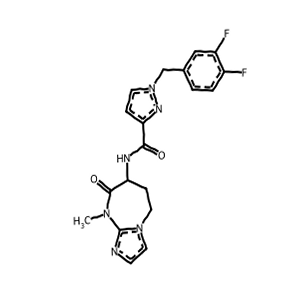 CN1C(=O)C(NC(=O)c2ccn(Cc3ccc(F)c(F)c3)n2)CCn2ccnc21